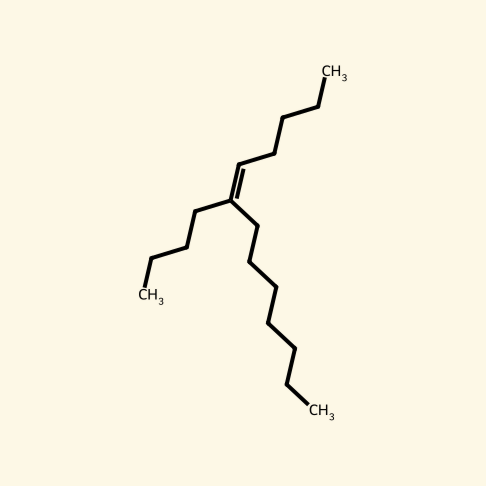 CCCCC=C(CCCC)CCCCCCC